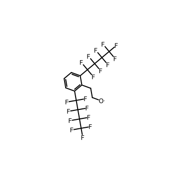 [O]CCc1c(C(F)(F)C(F)(F)C(F)(F)C(F)(F)F)cccc1C(F)(F)C(F)(F)C(F)(F)C(F)(F)F